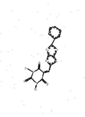 CCN1C(=O)C(=Cc2nc3oc(-c4ccccc4)nc3s2)C(=O)N(CC)C1=S